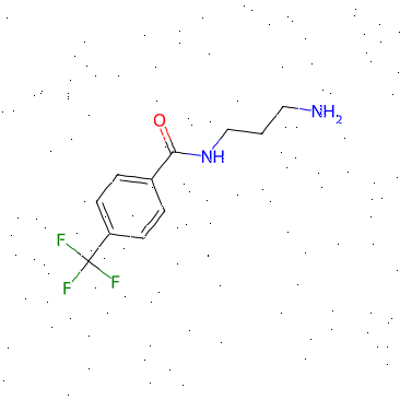 NCCCNC(=O)c1ccc(C(F)(F)F)cc1